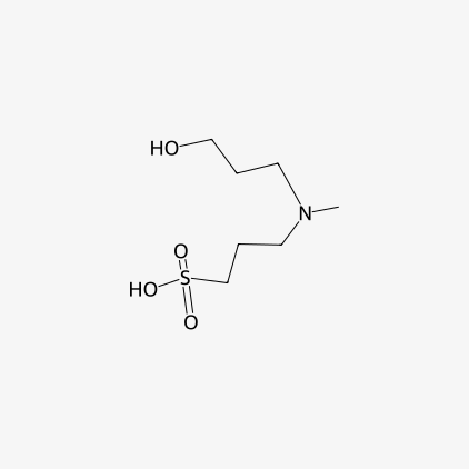 CN(CCCO)CCCS(=O)(=O)O